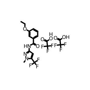 CCOc1cccc(C(=O)Nc2cc(C(F)(F)F)n(C)n2)c1.O=C(O)C(F)(F)F.O=C(O)C(F)(F)F